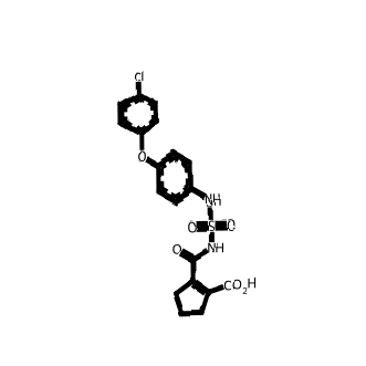 O=C(O)C1=C(C(=O)NS(=O)(=O)Nc2ccc(Oc3ccc(Cl)cc3)cc2)CCC1